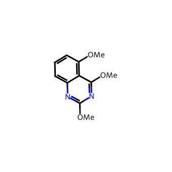 COc1nc(OC)c2c(OC)cccc2n1